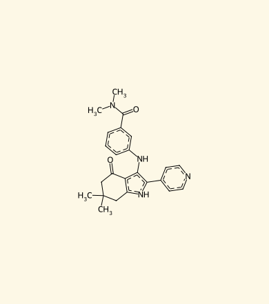 CN(C)C(=O)c1cccc(Nc2c(-c3ccncc3)[nH]c3c2C(=O)CC(C)(C)C3)c1